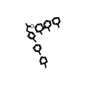 CC(=O)Cc1ccc(C)cc1.Cc1ccccc1.Cc1ccccc1.Cc1ccccc1.Cc1ccccc1.Cc1ccccc1